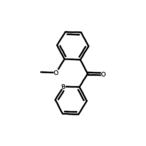 COc1ccccc1C(=O)c1bcccc1